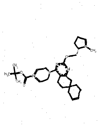 CN1CCC[C@H]1COc1nc2c(c(N3CCN(C(=O)OC(C)(C)C)CC3)n1)CCC1(CCCCC1)C2